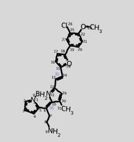 Bn1cccc1/C(CCN)=C1N=C(/C=C/c2ccc(-c3ccc(OC)c(Cl)c3)o2)C=C\1C